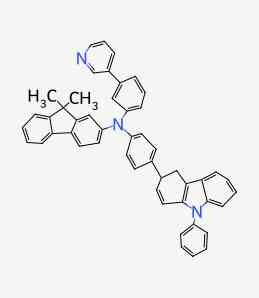 CC1(C)c2ccccc2-c2ccc(N(c3ccc(C4C=Cc5c(c6ccccc6n5-c5ccccc5)C4)cc3)c3cccc(-c4cccnc4)c3)cc21